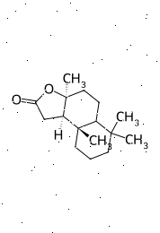 CC1(C)CCC[C@@]2(C)C1CC[C@]1(C)OC(=O)C[C@H]21